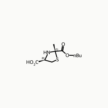 CCCCOC(=O)[C@@]1(C)N[C@H](C(=O)O)CS1